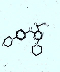 NC(=O)c1ncc(N2CCCCC2)nc1Nc1ccc(N2CCOCC2)cc1